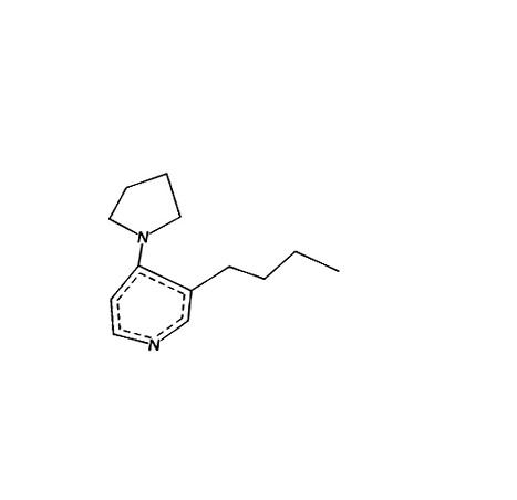 CCCCc1cnccc1N1CCCC1